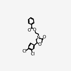 O=C(OCCN1CC(c2ccc(Cl)c(Cl)c2)OCC1=O)c1ccccc1